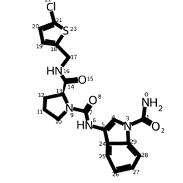 NC(=O)n1cc(NC(=O)N2CCC[C@H]2C(=O)NCc2ccc(Cl)s2)c2ccccc21